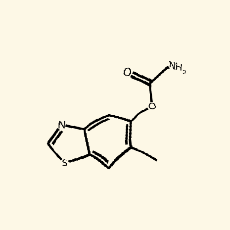 Cc1cc2scnc2cc1OC(N)=O